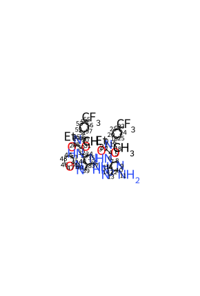 CCN(C(=O)C(=O)Nc1cnc(N)c2cn[nH]c12)C(C)c1ccc(C(F)(F)F)cc1.CCN(C(=O)C(=O)Nc1cnc(N)c2cnn(C3CCCCO3)c12)C(C)c1ccc(C(F)(F)F)cc1